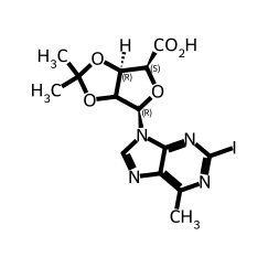 Cc1nc(I)nc2c1ncn2[C@@H]1O[C@H](C(=O)O)[C@@H]2OC(C)(C)OC21